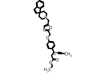 CC#C[C@@H](CC(=O)OCC)c1ccc(OCc2ncc(CN3CCC4(C=Cc5ccccc54)CC3)o2)cc1